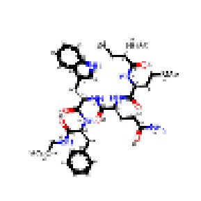 CSCC[C@H](NC(=O)[C@H](CC(C)C)NC(C)=O)C(=O)N[C@@H](CCC(N)=O)C(=O)N[C@@H](Cc1c[nH]c2ccccc12)C(=O)N[C@@H](Cc1ccccc1)C(=O)NCC(=O)O